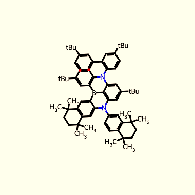 CC(C)(C)c1cccc(-c2cc(C(C)(C)C)ccc2N2c3ccc(C(C)(C)C)cc3B3c4cc5c(cc4N(c4ccc6c(c4)C(C)(C)CCC6(C)C)c4cc(C(C)(C)C)cc2c43)C(C)(C)CCC5(C)C)c1